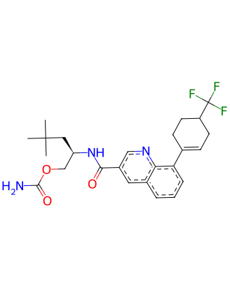 CC(C)(C)C[C@H](COC(N)=O)NC(=O)c1cnc2c(C3=CCC(C(F)(F)F)CC3)cccc2c1